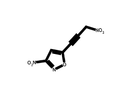 O=[N+]([O-])CC#Cc1cc([N+](=O)[O-])no1